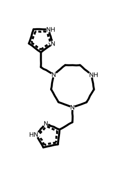 c1cc(CN2CCNCCN(Cc3cc[nH]n3)CC2)n[nH]1